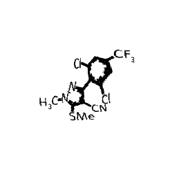 CSc1c(C#N)c(-c2c(Cl)cc(C(F)(F)F)cc2Cl)nn1C